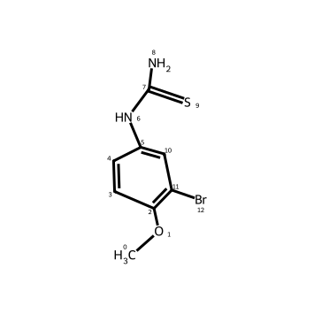 COc1ccc(NC(N)=S)cc1Br